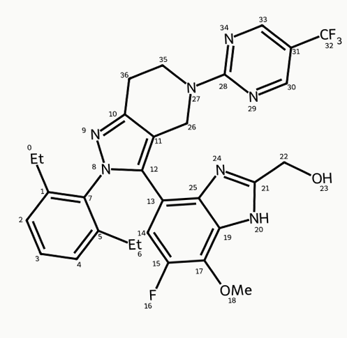 CCc1cccc(CC)c1-n1nc2c(c1-c1cc(F)c(OC)c3[nH]c(CO)nc13)CN(c1ncc(C(F)(F)F)cn1)CC2